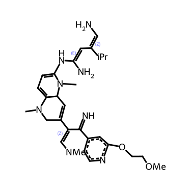 CN/C=C(\C(=N)c1ccnc(OCCOC)c1)C1=CC2C(=CC=C(N/C(N)=C/C(=C\N)C(C)C)N2C)N(C)C1